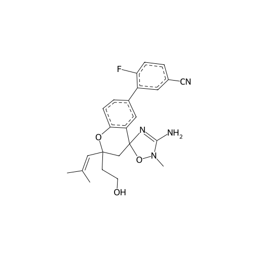 CC(C)=CC1(CCO)CC2(N=C(N)N(C)O2)c2cc(-c3cc(C#N)ccc3F)ccc2O1